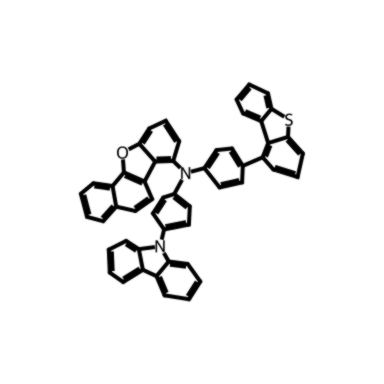 c1ccc2c(c1)ccc1c2oc2cccc(N(c3ccc(-c4cccc5sc6ccccc6c45)cc3)c3ccc(-n4c5ccccc5c5ccccc54)cc3)c21